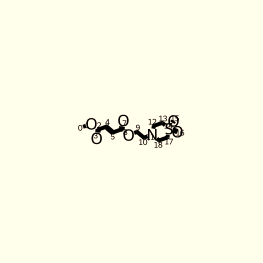 COC(=O)/C=C/C(=O)OCCN1CCS(=O)(=O)CC1